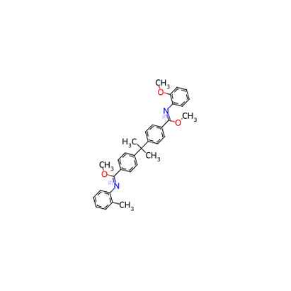 CO/C(=N\c1ccccc1C)c1ccc(C(C)(C)c2ccc(/C(=N/c3ccccc3OC)OC)cc2)cc1